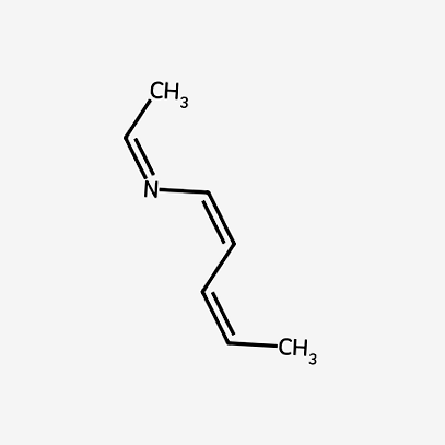 C\C=C/C=C\N=C/C